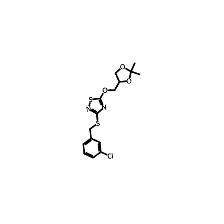 CC1(C)OCC(COc2nc(SCc3cccc(Cl)c3)ns2)O1